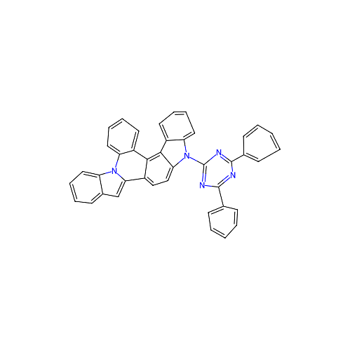 c1ccc(-c2nc(-c3ccccc3)nc(-n3c4ccccc4c4c5c6ccccc6n6c7ccccc7cc6c5ccc43)n2)cc1